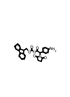 Nc1ccc(C(C(=O)OC(=O)OCC2c3ccccc3-c3ccccc32)N2C(=O)CCC2=O)cc1